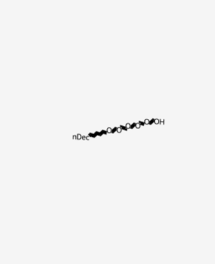 CCCCCCCCCCCCCCCCOCCOCCOCCOCCOCCO